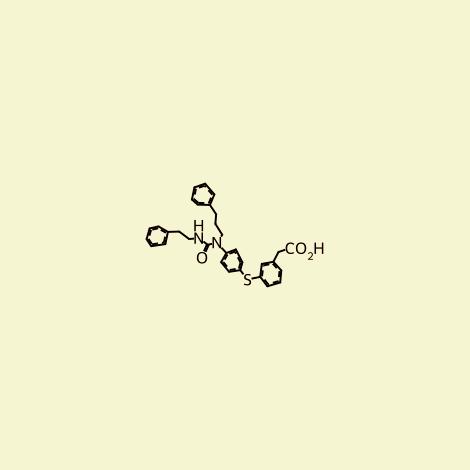 O=C(O)Cc1cccc(Sc2ccc(N(CCCc3ccccc3)C(=O)NCCc3ccccc3)cc2)c1